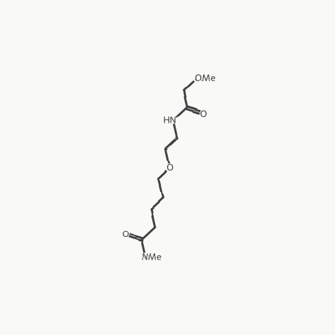 CNC(=O)CCCCOCCNC(=O)COC